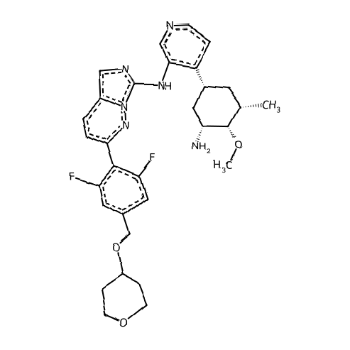 CO[C@@H]1[C@H](N)C[C@H](c2ccncc2Nc2ncc3ccc(-c4c(F)cc(COC5CCOCC5)cc4F)nn23)C[C@@H]1C